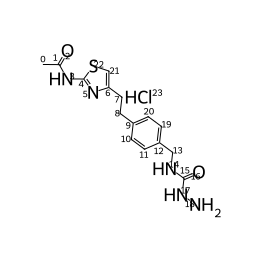 CC(=O)Nc1nc(CCc2ccc(CNC(=O)NN)cc2)cs1.Cl